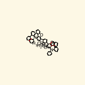 C[Si]1(C)c2cc(N(c3ccccc3)c3ccccc3-c3ccccc3)c3c(oc4ccccc43)c2-c2ccc3c(c21)[Si](C)(C)c1cc(N(c2ccccc2)c2ccccc2-c2ccccc2)c2c(oc4ccccc42)c1-3